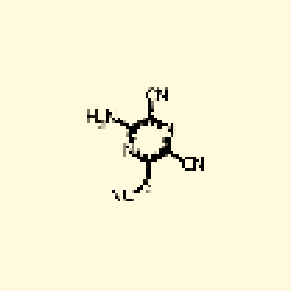 N#CSc1nc(N)c(C#N)nc1C#N